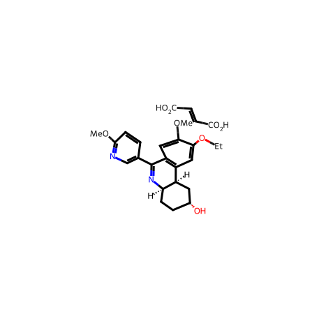 CCOc1cc2c(cc1OC)C(c1ccc(OC)nc1)=N[C@@H]1CC[C@@H](O)C[C@H]21.O=C(O)/C=C/C(=O)O